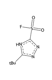 CC(C)(C)c1nnc(S(=O)(=O)F)[nH]1